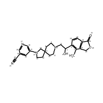 Cc1c(C(O)CN2CCC3(CC2)CCN(c2cncc(C#N)c2)C3)ccc2c1COC2=O